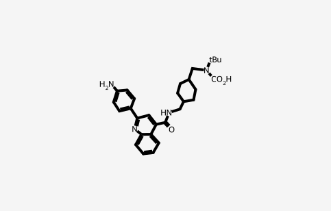 CC(C)(C)N(CC1CCC(CNC(=O)c2cc(-c3ccc(N)cc3)nc3ccccc23)CC1)C(=O)O